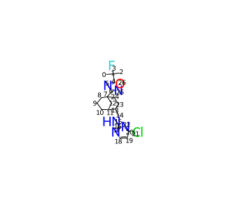 CC(C)(F)c1nc(C23CCCC(C2)C(CNc2nccc(Cl)n2)CC3)no1